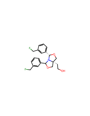 OCC[C@]12COC(c3cccc(CF)c3)N1[C@H](c1cccc(CF)c1)OC2